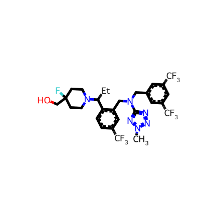 CCC(c1ccc(C(F)(F)F)cc1CN(Cc1cc(C(F)(F)F)cc(C(F)(F)F)c1)c1nnn(C)n1)N1CCC(F)(CO)CC1